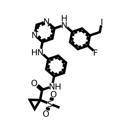 CS(=O)(=O)C1(C(=O)Nc2cccc(Nc3cc(Nc4ccc(F)c(CI)c4)ncn3)c2)CC1